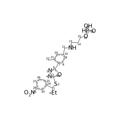 CCC(Sc1nnc(-c2ccc(CNCCCO[PH](=O)O)cc2C)o1)c1cccc([N+](=O)[O-])c1